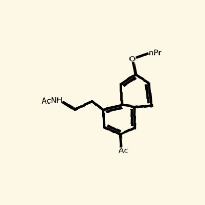 CCCOc1ccc2cc(C(C)=O)cc(CCNC(C)=O)c2c1